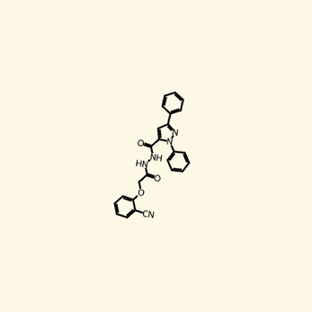 N#Cc1ccccc1OCC(=O)NNC(=O)c1cc(-c2ccccc2)nn1-c1ccccc1